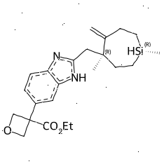 C=C1CC[Si@H](C)CC[C@@]1(C)Cc1nc2ccc(C3(C(=O)OCC)COC3)cc2[nH]1